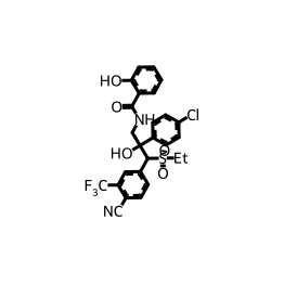 CCS(=O)(=O)C(c1ccc(C#N)c(C(F)(F)F)c1)C(O)(CNC(=O)c1ccccc1O)c1ccc(Cl)cc1